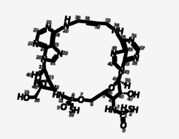 O=[PH](S)NC1C2COP(=O)(S)NC3[C@@H](O)[C@@H](O[C@@H]3CO)n3cnc4c(ncnc43)NC/C=C/CNc3ncnc4c3ncn4[C@H](O2)[C@@H]1O